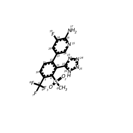 CS(=O)(=O)c1c(C(F)(F)F)ccc(-c2cnc(N)c(F)c2)c1-c1nnn[nH]1